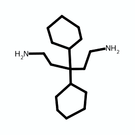 NCCC(CCN)(C1CCCCC1)C1CCCCC1